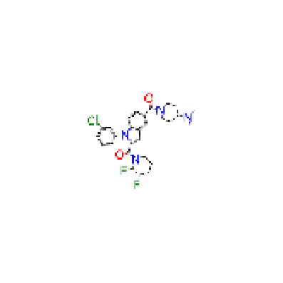 CN(C)C1CCN(C(=O)c2ccc3c(c2)cc(C(=O)N2CCCC(F)C2F)n3-c2cccc(Cl)c2)CC1